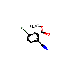 COC=O.N#Cc1ccc(F)cc1